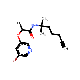 C#CCCCC(C)(C)NC(=O)C(CC)Oc1cncc(Br)c1